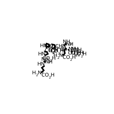 CC[C@H](C)[C@H](N)C(=O)O.N=C(N)NCCC[C@H](N)C(=O)O.N=C(N)NCCC[C@H](N)C(=O)O.NCC(=O)O.NCC(=O)O.NCC(=O)O.O=C(O)[C@@H]1CCCN1.O=C(O)[C@@H]1CCCN1.O=C(O)[C@@H]1CCCN1